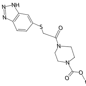 CC(C)(C)OC(=O)N1CCN(C(=O)CSc2ccc3nn[nH]c3c2)CC1